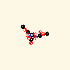 COc1ccc(C2C(C(=O)/C=C/c3ccc(OCc4ccccc4)c(OC)c3)C(=O)CC(c3ccc(OCc4ccccc4)cc3)C2[N+](=O)[O-])cc1